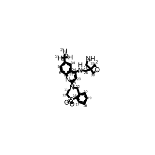 [2H]C([2H])([2H])c1ccc2nc(N3CCS(=O)(=O)c4ccccc4C3)cc(NCC3(CN)COC3)c2c1